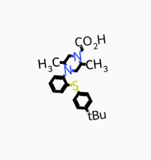 CC1CN(c2ccccc2Sc2ccc(C(C)(C)C)cc2)C(C)CN1CC(=O)O